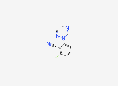 C=NN(/C=N\C)c1cccc(F)c1C#N